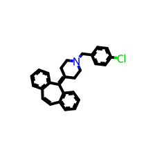 Clc1ccc(CN2CCC(=C3c4ccccc4C=Cc4ccccc43)CC2)cc1